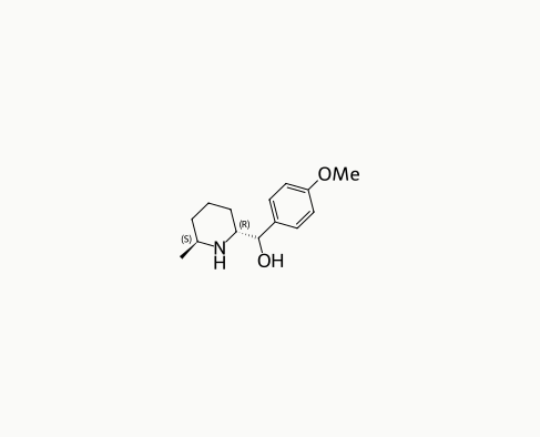 COc1ccc(C(O)[C@H]2CCC[C@H](C)N2)cc1